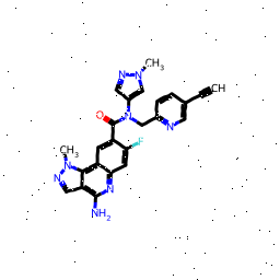 C#Cc1ccc(CN(C(=O)c2cc3c(cc2F)nc(N)c2cnn(C)c23)c2cnn(C)c2)nc1